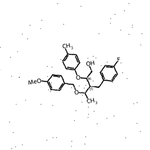 COc1ccc(COC(C)[C@H](Cc2ccc(F)cc2)[C@H](CO)Oc2ccc(C)cc2)cc1